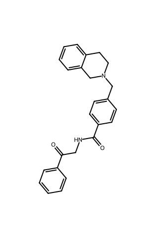 O=C(CNC(=O)c1ccc(CN2CCc3ccccc3C2)cc1)c1ccccc1